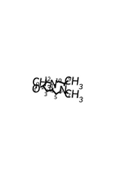 COC1CC2CN(C)C(C)CN2C1